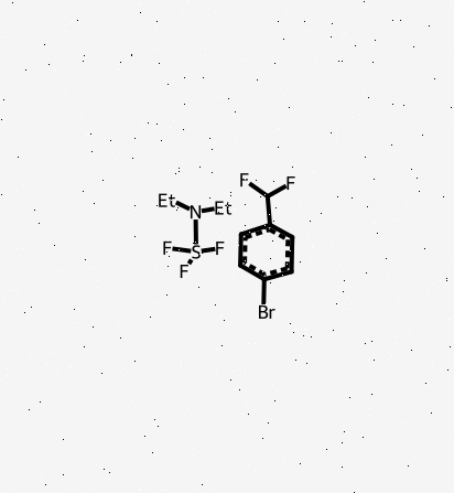 CCN(CC)S(F)(F)F.FC(F)c1ccc(Br)cc1